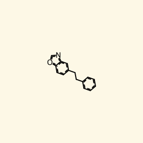 c1ccc(CCc2ccc3ocnc3c2)cc1